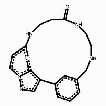 O=C1CCNc2ccn3ncc(c3n2)-c2cccc(c2)CNCCN1